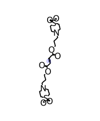 O=C(/C=C/C(=O)OCCCN1CCS(=O)(=O)CC1)OCCCN1CCS(=O)(=O)CC1